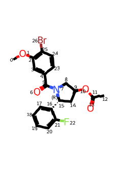 COc1cc(C(=O)N2CC(OC(C)=O)C[C@@H]2c2ccccc2F)ccc1Br